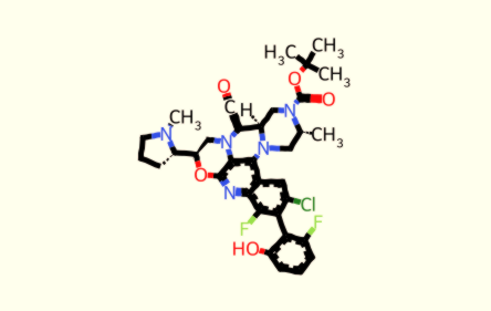 C[C@@H]1CN2c3c4c(nc5c(F)c(-c6c(O)cccc6F)c(Cl)cc35)O[C@@H]([C@@H]3CCCN3C)CN4C(=C=O)[C@H]2CN1C(=O)OC(C)(C)C